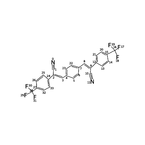 N#CC(=Cc1ccc(C=C(C#N)c2ccc(C(F)(F)F)cc2)cc1)c1ccc(C(F)(F)F)cc1